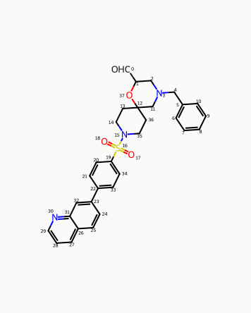 O=CC1CN(Cc2ccccc2)CC2(CCN(S(=O)(=O)c3ccc(-c4ccc5cccnc5c4)cc3)CC2)O1